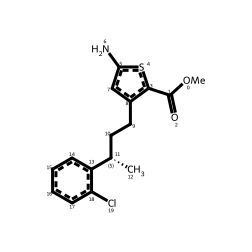 COC(=O)c1sc(N)cc1CC[C@H](C)c1ccccc1Cl